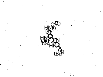 Cc1c(-c2cc3cc(NC(=O)O[C@@H]4CCOC4)ncc3c(NC(=O)OC(C)(C)C)c2F)cnc2c1NCC(CO[Si](C)(C)C(C)(C)C)C2